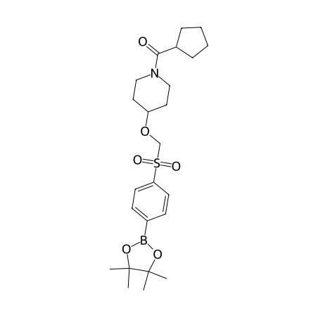 CC1(C)OB(c2ccc(S(=O)(=O)COC3CCN(C(=O)C4CCCC4)CC3)cc2)OC1(C)C